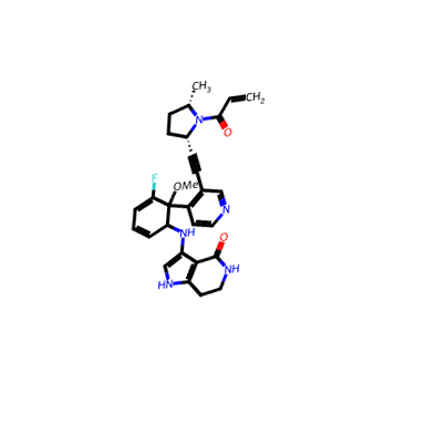 C=CC(=O)N1[C@H](C#Cc2cnccc2C2(OC)C(F)=CC=CC2Nc2c[nH]c3c2C(=O)NCC3)CC[C@@H]1C